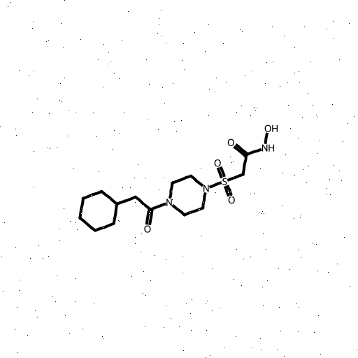 O=C(CS(=O)(=O)N1CCN(C(=O)CC2CCCCC2)CC1)NO